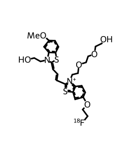 COc1ccc2c(c1)N(CCO)/C(=C/C=C/c1sc3cc(OCC[18F])ccc3[n+]1CCOCCOCCO)S2